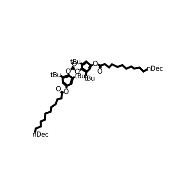 CCCCCCCCCCCCCCCCCCCCC(=O)Oc1cc(C(C)(C)C)c(OC(=O)Oc2c(C(C)(C)C)cc(OC(=O)CCCCCCCCCCCCCCCCCCCC)cc2C(C)(C)C)c(C(C)(C)C)c1